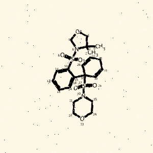 CC1(C)COCN1S(=O)(=O)c1ccccc1C1(S(=O)(=O)N2CCOCC2)C=C[CH]C=C1